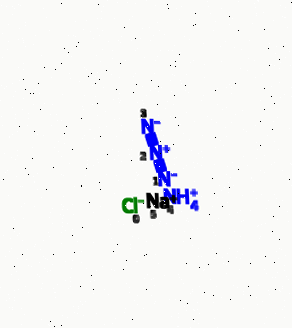 [Cl-].[N-]=[N+]=[N-].[NH4+].[Na+]